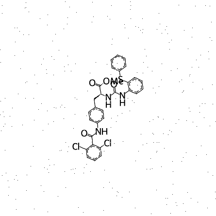 COC(=O)[C@H](Cc1ccc(NC(=O)c2c(Cl)cccc2Cl)cc1)NC(=O)Nc1ccccc1Sc1ccccc1